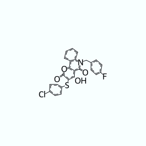 O=c1oc2c(c(O)c1Sc1ccc(Cl)cc1)c(=O)n(Cc1ccc(F)cc1)c1ccccc21